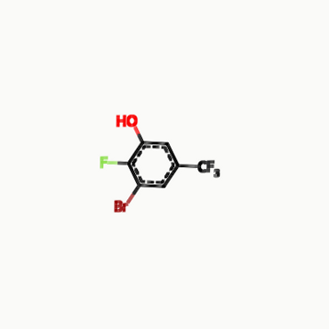 Oc1cc(C(F)(F)F)cc(Br)c1F